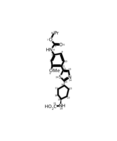 COc1cc(NC(=O)OC(C)C)ccc1-c1cnc([C@H]2CC[C@H](NC(=O)O)CC2)s1